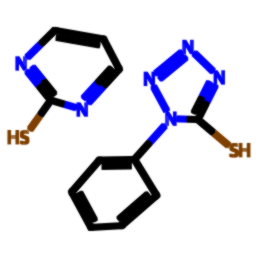 Sc1ncccn1.Sc1nnnn1-c1ccccc1